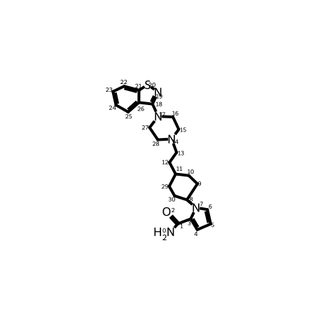 NC(=O)c1cccn1C1CCC(CCN2CCN(c3nsc4ccccc34)CC2)CC1